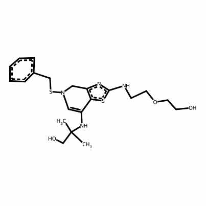 CC(C)(CO)NC1=CN(SCc2ccccc2)Cc2nc(NCCOCCO)sc21